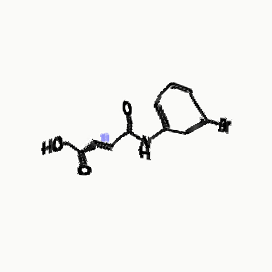 O=C(O)/C=C/C(=O)Nc1cccc(Br)c1